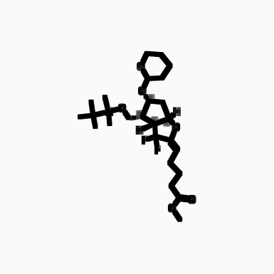 COC(=O)CCCC=C1O[C@H]2C[C@@H](OC3CCCCO3)[C@@H](CO[Si](C)(C)C(C)(C)C)[C@H]2C1(F)F